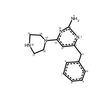 Nc1nc(Cc2ccccc2)cc(N2CCNCC2)n1